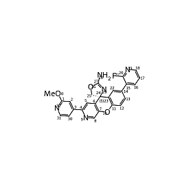 COc1cc(-c2cc3c(cn2)Oc2ccc(-c4cccnc4F)cc2[C@@]32COC(N)=N2)ccn1